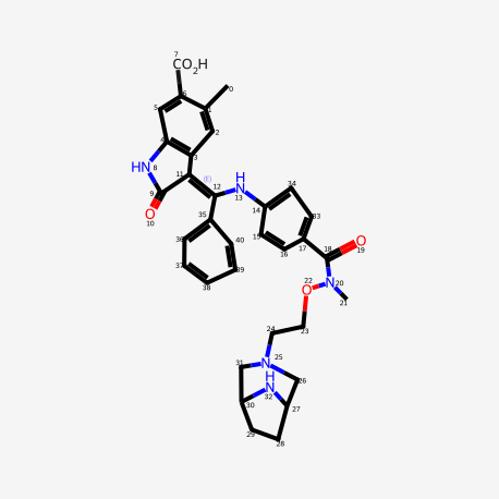 Cc1cc2c(cc1C(=O)O)NC(=O)/C2=C(/Nc1ccc(C(=O)N(C)OCCN2CC3CCC(C2)N3)cc1)c1ccccc1